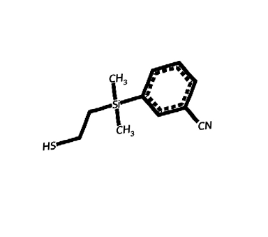 C[Si](C)(CCS)c1cccc(C#N)c1